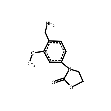 NCc1ccc(N2CCOC2=O)cc1OC(F)(F)F